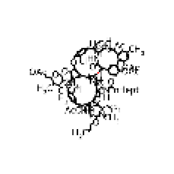 C=CCOC(=O)N(C)[C@H](CC(C)C)C(=O)N[C@H]1C(=O)C[C@@H](CNC(=O)CCCCCCC)C(=O)N[C@H]2C(=O)C[C@H]3C(=O)N[C@H](C(=O)N[C@H](C(C)=O)c4cc(C)cc(OC(C)=O)c4-c4cc3ccc4OC(C)=O)[C@H](C)c3ccc(c(Cl)c3)Oc3cc2cc(c3OC2OC(COC(C)=O)C(C)C(C)C2C)Oc2ccc(cc2Cl)[C@H]1OC(C)=O